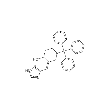 OC1CCN(C(c2ccccc2)(c2ccccc2)c2ccccc2)C/C1=C/c1nc[nH]n1